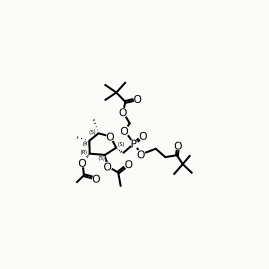 CC(=O)O[C@@H]1[C@H](C)[C@H](C)O[C@H](CP(=O)(OCCC(=O)C(C)(C)C)OCOC(=O)C(C)(C)C)[C@H]1OC(C)=O